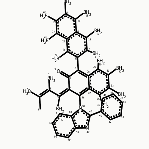 B/C(C)=C(B)/C(B)=C1\C(=O)C(c2c(B)c(B)c3c(B)c(B)c(B)c(B)c3c2B)=c2c(B)c(B)c(B)c(B)c2=C1n1c(-c2ccccc2)nc2ccccc21